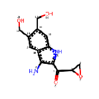 Nc1c(C(=O)C2CO2)[nH]c2cc(CO)c(CO)cc12